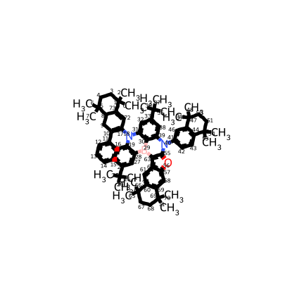 CC1(C)CCC(C)(C)C2CC(c3ccccc3)=C(N3c4ccc(C(C)(C)C)cc4B4c5c3cc(C(C)(C)C)cc5N(c3ccc5c(c3)C(C)(C)CCC5(C)C)c3oc5cc6c(cc5c34)C(C)(C)CCC6(C)C)C=C21